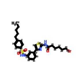 CCCCCc1ccc(S(=O)(=O)Nc2cccc(-c3csc(NC(=O)CCCCCBr)n3)c2)cc1